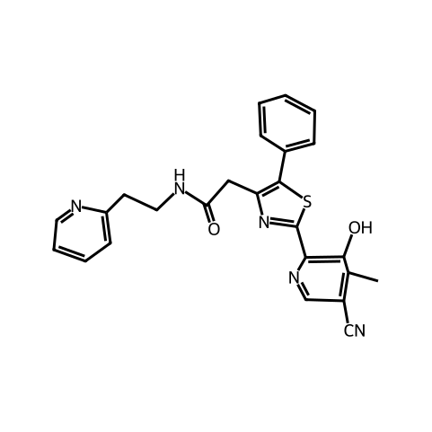 Cc1c(C#N)cnc(-c2nc(CC(=O)NCCc3ccccn3)c(-c3ccccc3)s2)c1O